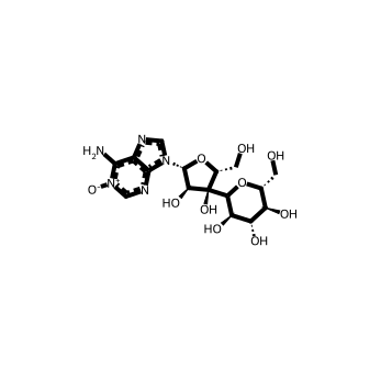 Nc1c2ncn([C@@H]3O[C@H](CO)[C@](O)(C4O[C@H](CO)[C@@H](O)[C@H](O)[C@H]4O)[C@H]3O)c2nc[n+]1[O-]